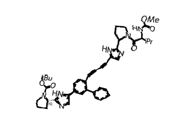 COC(=O)NC(C(=O)N1CCCC1c1ncc(C#CC#Cc2ccc(-c3cnc([C@@H]4CCCN4C(=O)OC(C)(C)C)[nH]3)cc2-c2ccccc2)[nH]1)C(C)C